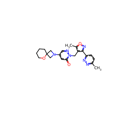 Cc1ccc(-c2noc(C)c2Cn2ncc(N3CC4(CCCCO4)C3)cc2=O)nn1